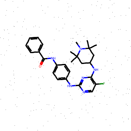 CN1C(C)(C)CC(Nc2nc(Nc3ccc(NC(=O)c4ccccc4)cc3)ncc2F)CC1(C)C